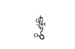 C[C@H](CN(C)CCc1ccccc1Cl)NC(=O)OC(C)(C)C